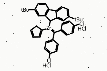 CC(C)(C)c1ccc2c(c1)[CH]([Zr]([C]1=CC=CC1)=[C](c1ccc(Cl)cc1)c1ccc(Cl)cc1)c1cc(C(C)(C)C)ccc1-2.Cl.Cl